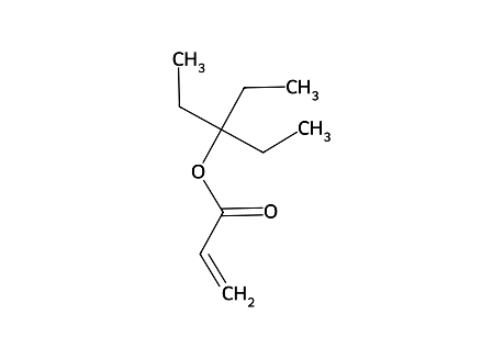 C=CC(=O)OC(CC)(CC)CC